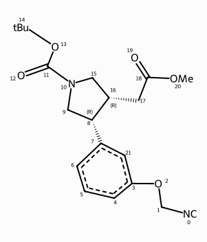 [C-]#[N+]COc1cccc([C@@H]2CN(C(=O)OC(C)(C)C)C[C@@H]2CC(=O)OC)c1